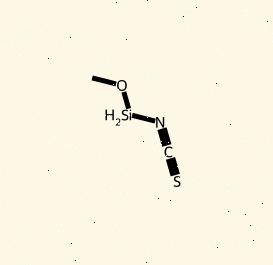 CO[SiH2]N=C=S